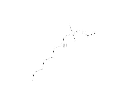 CCCCCCNC[Si](C)(C)OCC